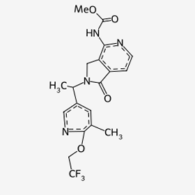 COC(=O)Nc1nccc2c1CN(C(C)c1cnc(OCC(F)(F)F)c(C)c1)C2=O